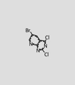 Clc1nc(Cl)c2cc(Br)cnc2n1